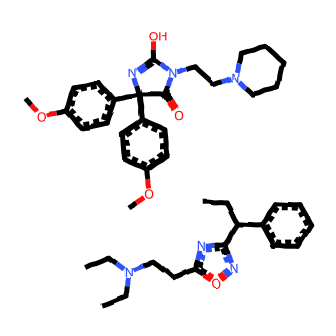 CCC(c1ccccc1)c1noc(CCN(CC)CC)n1.COc1ccc(C2(c3ccc(OC)cc3)N=C(O)N(CCN3CCCCC3)C2=O)cc1